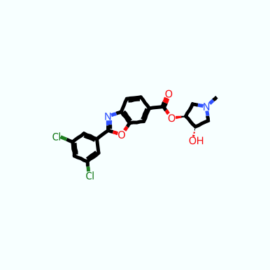 CN1C[C@H](OC(=O)c2ccc3nc(-c4cc(Cl)cc(Cl)c4)oc3c2)[C@@H](O)C1